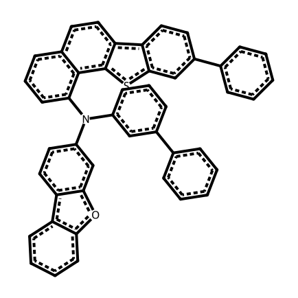 c1ccc(-c2cccc(N(c3ccc4c(c3)oc3ccccc34)c3cccc4ccc5c6ccc(-c7ccccc7)cc6sc5c34)c2)cc1